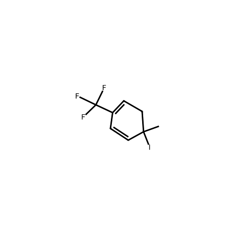 CC1(I)C=CC(C(F)(F)F)=CC1